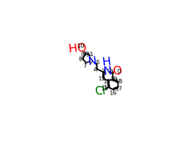 O=c1[nH]c(CCN2CC[C@@H](O)C2)cc2c(Cl)cccc12